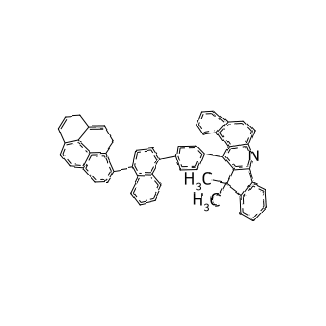 CC1(C)c2ccccc2-c2nc3ccc4ccccc4c3c(-c3ccc(-c4ccc(-c5ccc6ccc7c8c6c5CC=C8CC=C7)c5ccccc45)cc3)c21